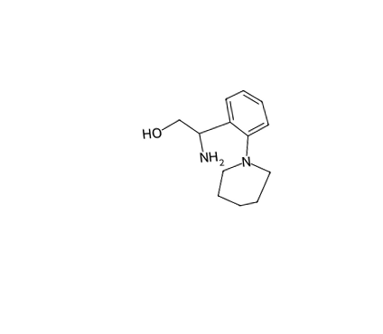 NC(CO)c1ccccc1N1CCCCC1